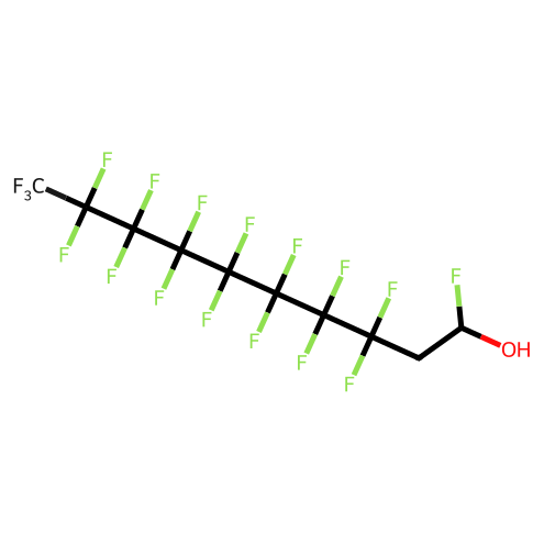 OC(F)CC(F)(F)C(F)(F)C(F)(F)C(F)(F)C(F)(F)C(F)(F)C(F)(F)C(F)(F)F